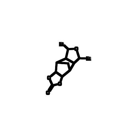 CCC1OC(CC)C2C3CC(C4OC(=O)OC34)C12